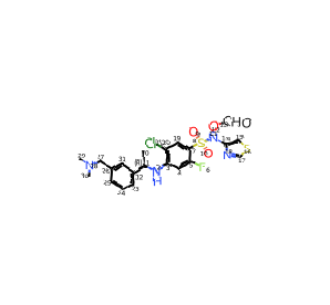 C[C@@H](Nc1cc(F)c(S(=O)(=O)N(OC=O)c2cscn2)cc1Cl)c1cccc(CN(C)C)c1